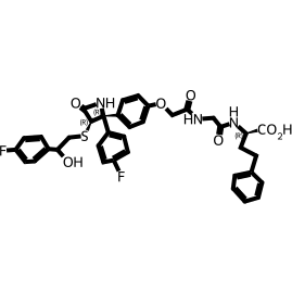 O=C(COc1ccc([C@]2(c3ccc(F)cc3)NC(=O)[C@@H]2SCC(O)c2ccc(F)cc2)cc1)NCC(=O)N[C@H](CCc1ccccc1)C(=O)O